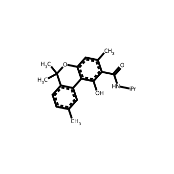 Cc1ccc2c(c1)-c1c(cc(C)c(C(=O)NC(C)C)c1O)OC2(C)C